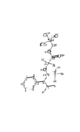 CC(C)C(c1ccccc1)N(OC(C)(C)C(=O)OC[Si](Cl)(Cl)Cl)C(C)(C)C